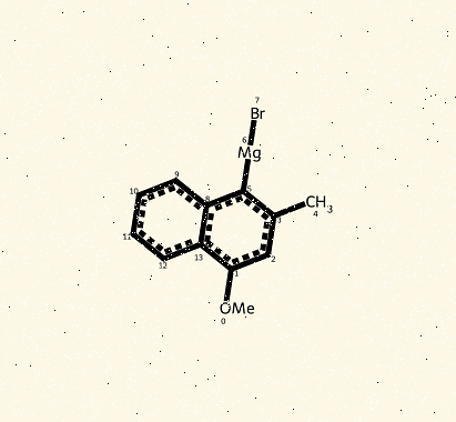 COc1cc(C)[c]([Mg][Br])c2ccccc12